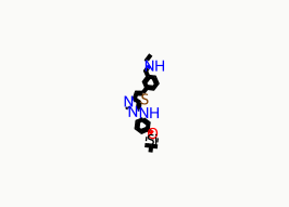 CCNCc1cccc(-c2cc3ncnc(Nc4cccc(O[Si](C)(C)C(C)(C)C)c4)c3s2)c1